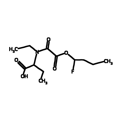 CCCC(F)OC(=O)C(=O)N(CC)C(CC)C(=O)O